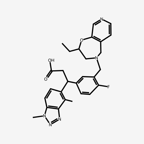 CCC1CN(Cc2cc(C(CC(=O)O)c3ccc4c(nnn4C)c3C)ccc2F)Cc2ccncc2O1